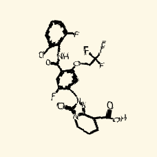 O=C(Nc1c(F)cccc1Cl)c1cc(F)c(-n2nc3n(c2=O)CCCC3C(=O)O)cc1OCC(F)(F)F